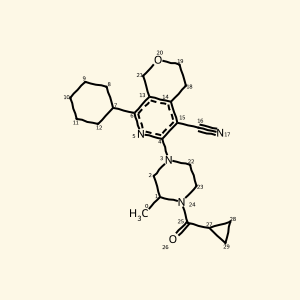 CC1CN(c2nc(C3CCCCC3)c3c(c2C#N)CCOC3)CCN1C(=O)C1CC1